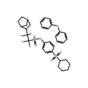 O=S(=O)(c1ccc(OS(=O)(=O)C(F)(F)C(F)(F)C2CC3CCC2C3)cc1)C1CCCCC1.c1ccc(Sc2ccccc2)cc1